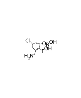 NCc1cc(Cl)cc(OB(O)O)c1F